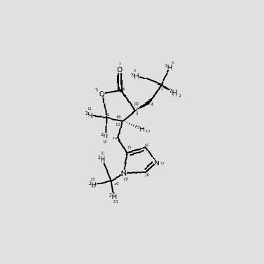 [2H]C([2H])([2H])C[C@@H]1C(=O)OC([2H])([2H])[C@]1([2H])Cc1cncn1C([2H])([2H])[2H]